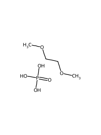 COCCOC.O=P(O)(O)O